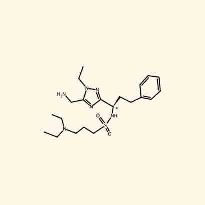 CCN(CC)CCCS(=O)(=O)N[C@H](CCc1ccccc1)c1nc(CN)n(CC)n1